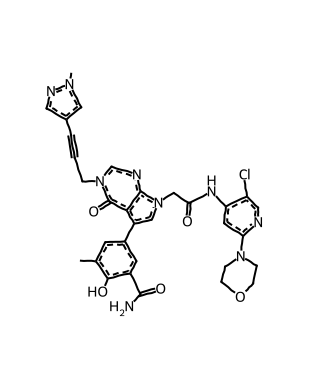 Cc1cc(-c2cn(CC(=O)Nc3cc(N4CCOCC4)ncc3Cl)c3ncn(CC#Cc4cnn(C)c4)c(=O)c23)cc(C(N)=O)c1O